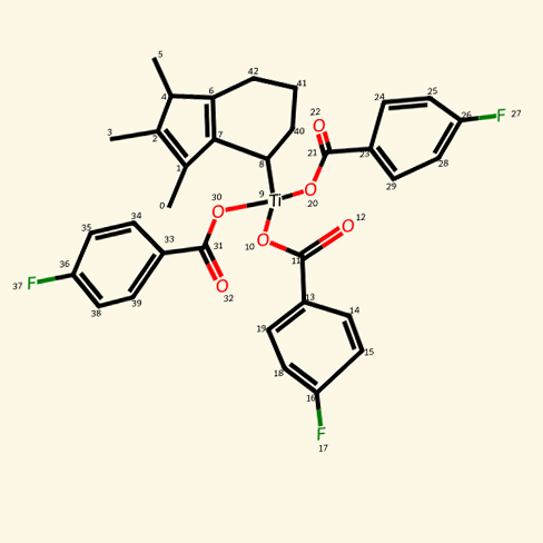 CC1=C(C)C(C)C2=C1[CH]([Ti]([O]C(=O)c1ccc(F)cc1)([O]C(=O)c1ccc(F)cc1)[O]C(=O)c1ccc(F)cc1)CCC2